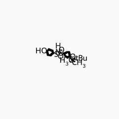 CC(C)(C)[Si](C)(C)Oc1ccc(S(=O)(=O)NSc2ccc(O)cc2)cc1